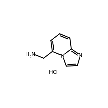 Cl.NCc1cccc2nccn12